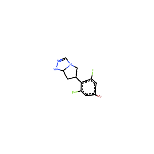 Fc1cc(Br)cc(F)c1C1CC2NN=CN2C1